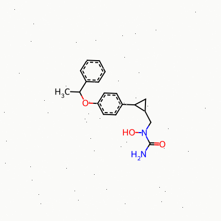 CC(Oc1ccc(C2CC2CN(O)C(N)=O)cc1)c1ccccc1